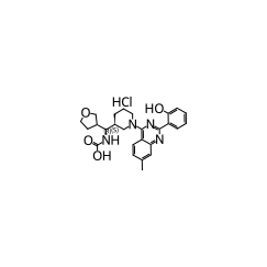 Cc1ccc2c(N3CCC[C@H]([C@@H](NC(=O)O)C4CCOC4)C3)nc(-c3ccccc3O)nc2c1.Cl